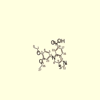 CCOc1ccc(N(Cc2cncs2)c2cccc(C(=O)O)c2)cc1OCC